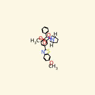 COC(=O)C(c1ccccc1)N1C[C@H]2CC[C@@H](C1)N2C(=O)c1cccc(-c2nc3ccc(OC)cc3s2)c1